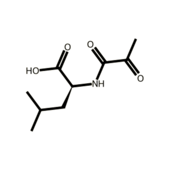 CC(=O)C(=O)N[C@@H](CC(C)C)C(=O)O